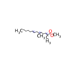 CCCCC/C=C/C/C(C)=C/C/C=C(\C)C(=O)OC